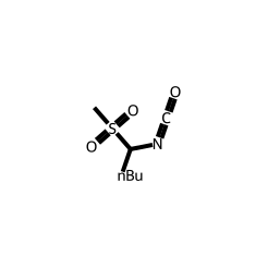 CCCCC(N=C=O)S(C)(=O)=O